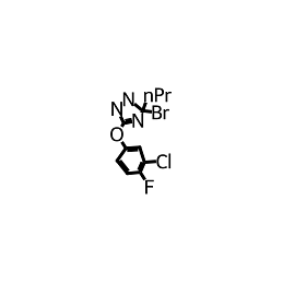 CCCC1(Br)N=NC(Oc2ccc(F)c(Cl)c2)=N1